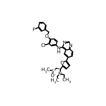 CCN(CC)[C@@H](C[S+](C)[O-])c1ccc(-c2ccc3ncnc(Nc4ccc(OCc5cccc(F)c5)c(Cl)c4)c3c2)o1